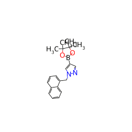 CC1(C)OB(c2cnn(Cc3cccc4ccccc34)c2)OC1(C)C